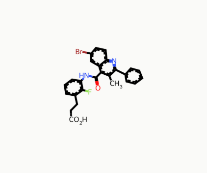 Cc1c(-c2ccccc2)nc2ccc(Br)cc2c1C(=O)Nc1cccc(CCC(=O)O)c1F